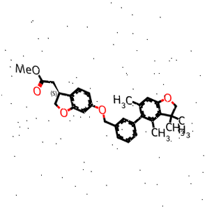 COC(=O)C[C@@H]1COc2cc(OCc3cccc(-c4c(C)cc5c(c4C)C(C)(C)CO5)c3)ccc21